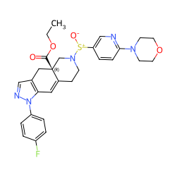 CCOC(=O)[C@]12Cc3cnn(-c4ccc(F)cc4)c3C=C1CCN([S+]([O-])c1ccc(N3CCOCC3)nc1)C2